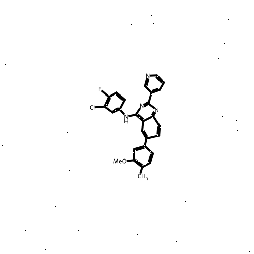 COc1cc(-c2ccc3nc(-c4cccnc4)nc(Nc4ccc(F)c(Cl)c4)c3c2)ccc1C